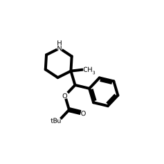 CC(C)(C)C(=O)OC(c1ccccc1)C1(C)CCCNC1